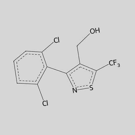 OCc1c(-c2c(Cl)cccc2Cl)nsc1C(F)(F)F